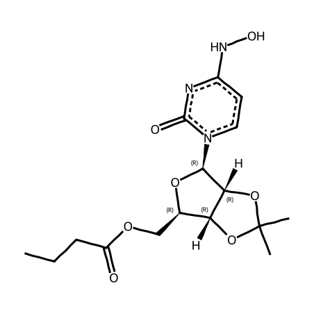 CCCC(=O)OC[C@H]1O[C@@H](n2ccc(NO)nc2=O)[C@@H]2OC(C)(C)O[C@@H]21